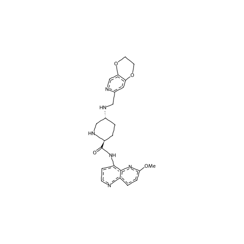 COc1ccc2nccc(NC(=O)[C@@H]3CC[C@@H](NCc4cc5c(cn4)OCCO5)CN3)c2n1